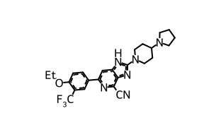 CCOc1ccc(-c2cc3[nH]c(N4CCC(N5CCCC5)CC4)nc3c(C#N)n2)cc1C(F)(F)F